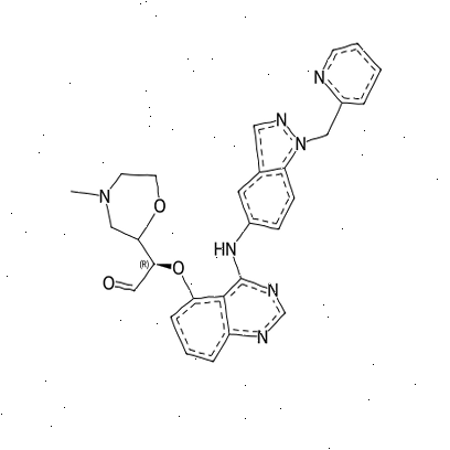 CN1CCOC([C@H](C=O)Oc2cccc3ncnc(Nc4ccc5c(cnn5Cc5ccccn5)c4)c23)C1